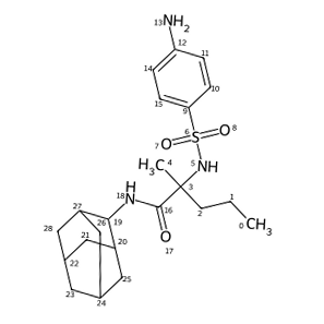 CCCC(C)(NS(=O)(=O)c1ccc(N)cc1)C(=O)NC1C2CC3CC(C2)CC1C3